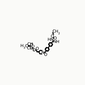 C=CCOC(=O)NC(=N)c1ccc(-c2ccc(C(=O)N3CCC(=CC(=O)OCOC(=O)C(C)(C)C)CC3)cc2)cc1